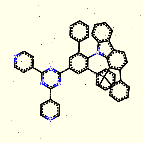 CC1(C)c2ccccc2-c2ccc3c4ccccc4n(-c4c(-c5ccccc5)cc(-c5nc(-c6ccncc6)nc(-c6ccncc6)n5)cc4-c4ccccc4)c3c21